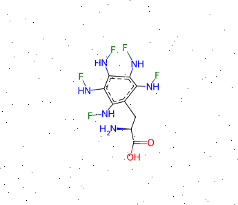 N[C@@H](Cc1c(NF)c(NF)c(NF)c(NF)c1NF)C(=O)O